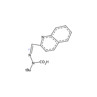 CC(C)(C)N(/N=C\c1ccc2ccccc2n1)C(=O)O